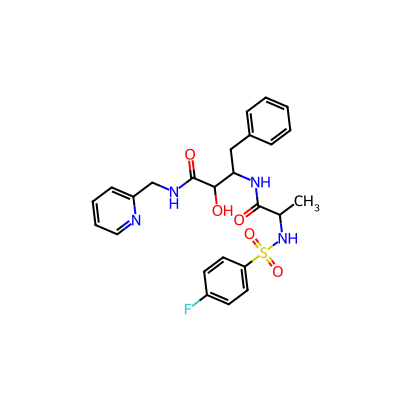 CC(NS(=O)(=O)c1ccc(F)cc1)C(=O)NC(Cc1ccccc1)C(O)C(=O)NCc1ccccn1